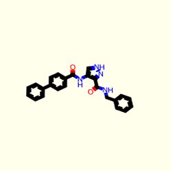 O=C(Nc1c[nH]nc1C(=O)NCc1ccccc1)c1ccc(-c2ccccc2)cc1